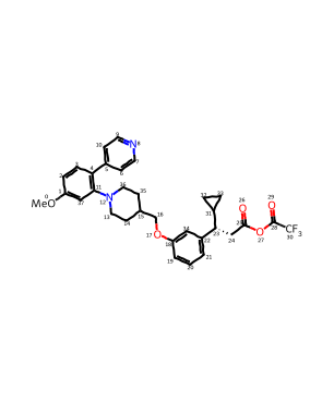 COc1ccc(-c2ccncc2)c(N2CCC(COc3cccc([C@@H](CC(=O)OC(=O)C(F)(F)F)C4CC4)c3)CC2)c1